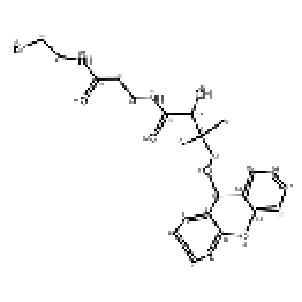 CC(C)(CO[C]1c2ccccc2Oc2ccccc21)C(O)C(=O)NCCC(=O)NCCS